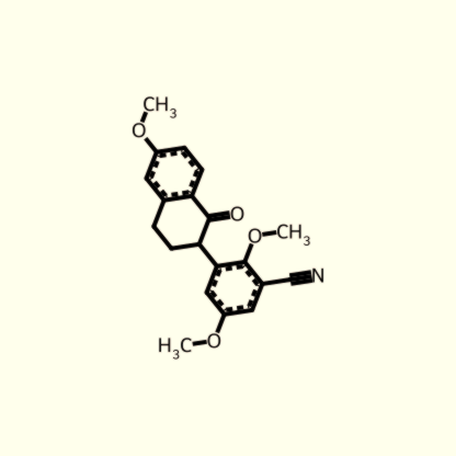 COc1ccc2c(c1)CCC(c1cc(OC)cc(C#N)c1OC)C2=O